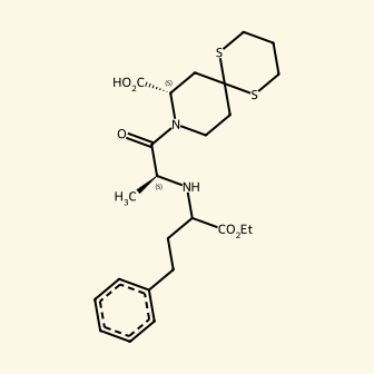 CCOC(=O)C(CCc1ccccc1)N[C@@H](C)C(=O)N1CCC2(C[C@H]1C(=O)O)SCCCS2